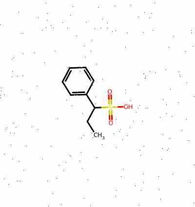 CCC(c1cc[c]cc1)S(=O)(=O)O